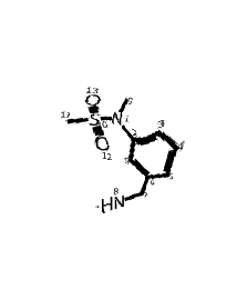 CN(c1cccc(C[NH])c1)S(C)(=O)=O